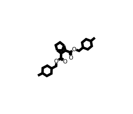 CC1CCC(COC(=O)C2C3CCC(C3)C2C(=O)OCC2CCC(C)CC2)CC1